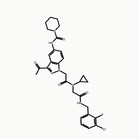 CC(=O)c1nn(CC(=O)N(CC(=O)NCc2cccc(Cl)c2F)C2CC2)c2ccc(NC(=O)N3CCCCC3)cc12